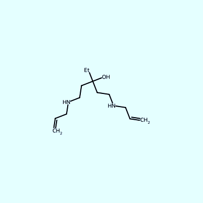 C=CCNCCC(O)(CC)CCNCC=C